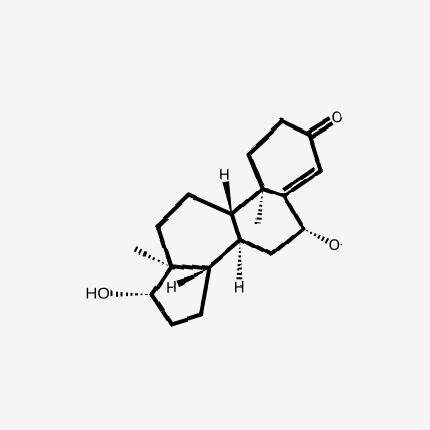 C[C@]12CC[C@H]3[C@@H](C[C@@H]([O])C4=CC(=O)CC[C@@]43C)[C@@H]1CC[C@@H]2O